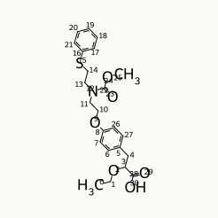 CCOC(Cc1ccc(OCCN(CCSc2ccccc2)C(=O)OC)cc1)C(=O)O